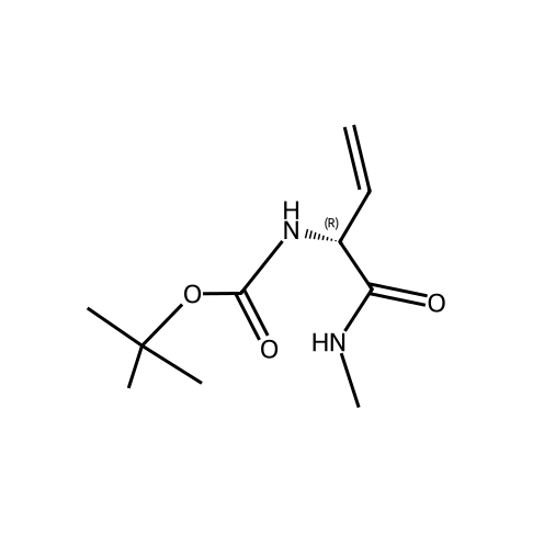 C=C[C@@H](NC(=O)OC(C)(C)C)C(=O)NC